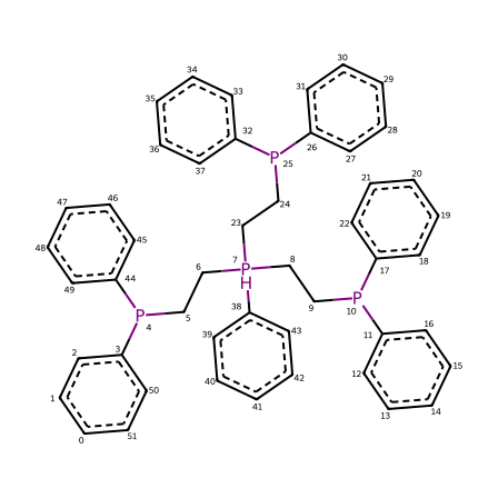 c1ccc(P(CC[PH](CCP(c2ccccc2)c2ccccc2)(CCP(c2ccccc2)c2ccccc2)c2ccccc2)c2ccccc2)cc1